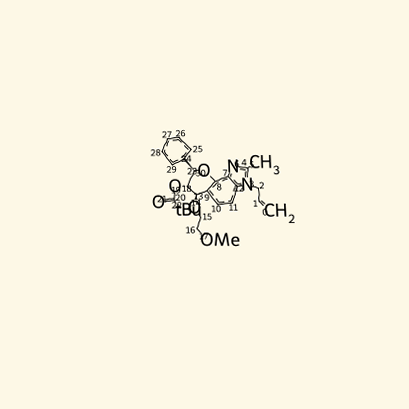 C=CCn1c(C)nc2c3c(ccc21)[C@@H](OCCOC)[C@H](OC(=O)C(C)(C)C)[C@@H](c1ccccc1)O3